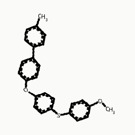 COc1ccc(Sc2ccc(Oc3ccc(-c4ccc(C)cc4)cc3)cc2)cc1